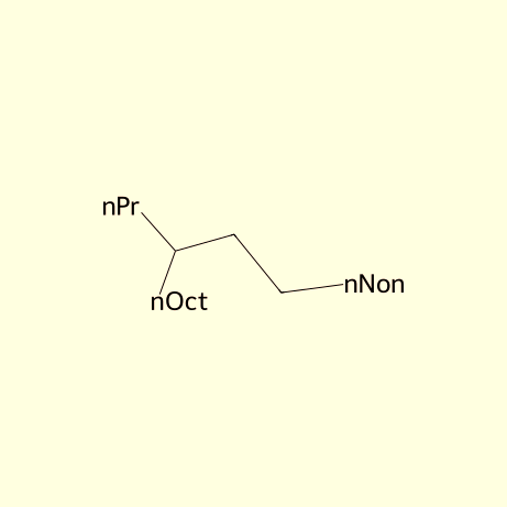 CCCCCCCCCCCC(CCC)CCCCCCCC